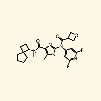 Cc1sc(N(C(=O)C2COC2)c2cc(F)nc(F)c2)nc1C(=O)N[C@@H]1CCC12CCCC2